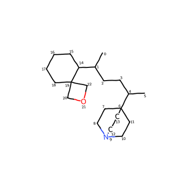 CC(CCC(C)C12CCN(CC1)CC2)C1CCCCC12COC2